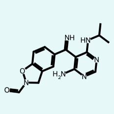 CC(C)Nc1ncnc(N)c1C(=N)c1ccc2c(c1)CN(C=O)O2